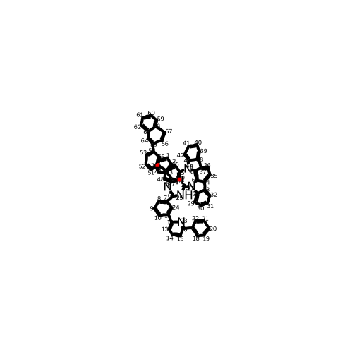 c1ccc(C2=NC(c3cccc(-c4cccc(-c5ccccc5)n4)c3)NC(n3c4ccccc4c4ccc5c6ccccc6n(-c6cccc(-c7cccc(-c8ccc9ccccc9c8)c7)c6)c5c43)=N2)cc1